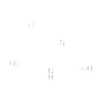 Oc1nc(Cl)c(O)[nH]1